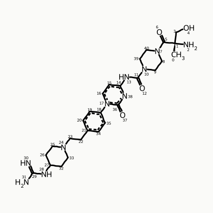 C[C@](N)(CO)C(=O)N1CCN(C(=O)Nc2ccn(-c3ccc(CCN4CCC(NC(=N)N)CC4)cc3)c(=O)n2)CC1